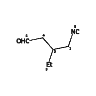 [C-]#[N+]CC(CC)CC=O